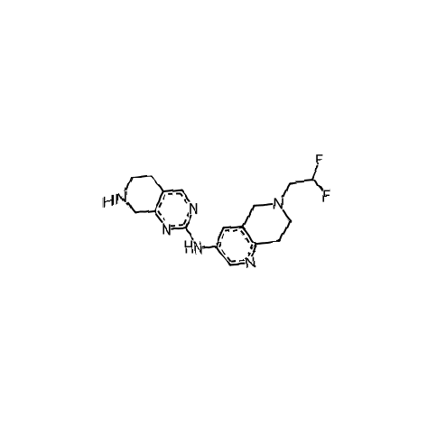 FC(F)CN1CCc2ncc(Nc3ncc4c(n3)CNCC4)cc2C1